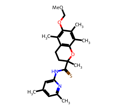 COCOc1c(C)c(C)c2c(c1C)CCC(C)(C(=S)Nc1cc(C)cc(C)n1)O2